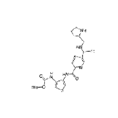 CCC(NCC1CCCN1)c1ccc(C(=O)Nc2cscc2NC(=O)OC(C)(C)C)nc1